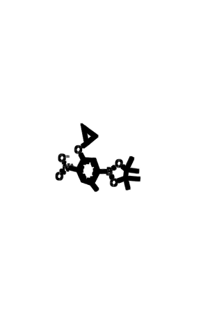 Cc1cc([N+](=O)[O-])c(OC2CC2)cc1B1OC(C)(C)C(C)(C)O1